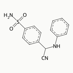 N#CC(Nc1ccccc1)c1ccc(S(N)(=O)=O)cc1